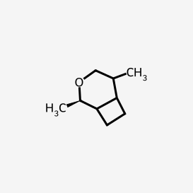 CC1CO[C@H](C)C2CCC12